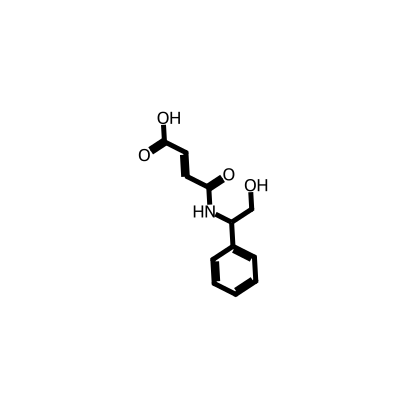 O=C(O)C=CC(=O)NC(CO)c1ccccc1